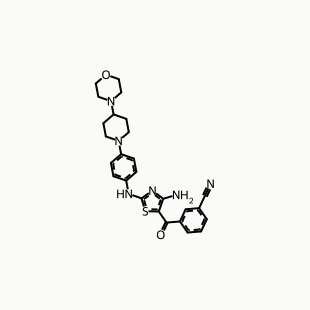 N#Cc1cccc(C(=O)c2sc(Nc3ccc(N4CCC(N5CCOCC5)CC4)cc3)nc2N)c1